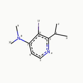 CC(C)c1nccc(N(C)C)c1I